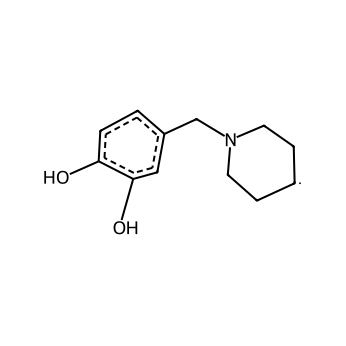 Oc1ccc(CN2CC[CH]CC2)cc1O